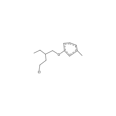 CCC(CCCl)COc1cccc(C)c1